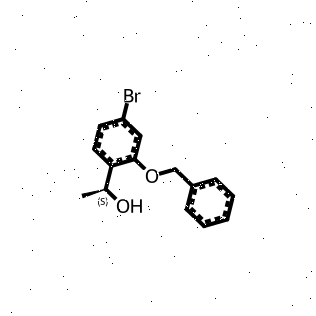 C[C@H](O)c1ccc(Br)cc1OCc1ccccc1